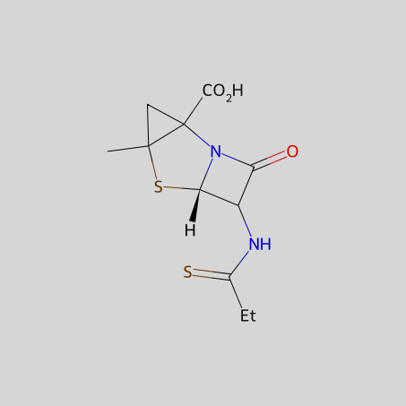 CCC(=S)NC1C(=O)N2[C@H]1SC1(C)CC21C(=O)O